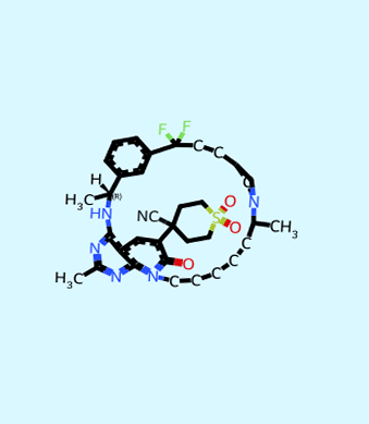 Cc1nc2c3cc(C4(C#N)CCS(=O)(=O)CC4)c(=O)n(c3n1)CCCCCC(C)N1CC(CCC(F)(F)c3cccc(c3)[C@@H](C)N2)C1